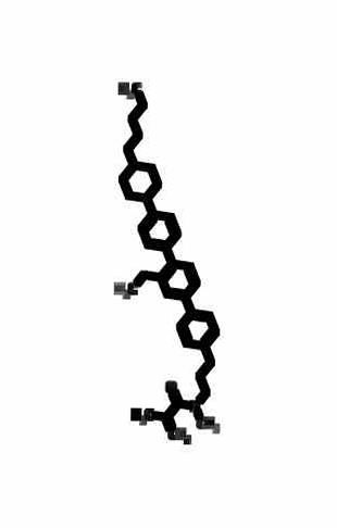 C=C(C)C(=O)N(C)CCCc1ccc(-c2ccc(-c3ccc(C4CCC(CCCCC)CC4)cc3)c(CC)c2)cc1